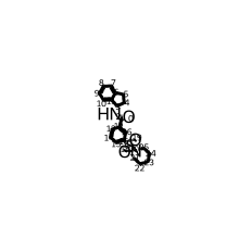 O=C(NC1CCc2ccccc21)c1cccc(S(=O)(=O)N2CCCCC2)c1